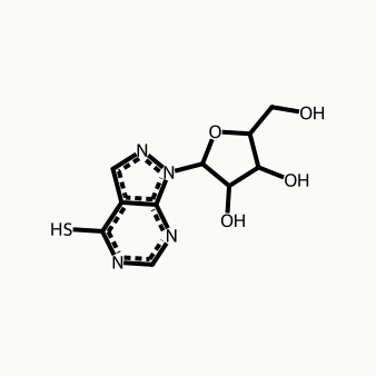 OCC1OC(n2ncc3c(S)ncnc32)C(O)C1O